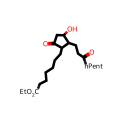 CCCCCC(=O)CCC1C(O)CC(=O)C1CCCCCCC(=O)OCC